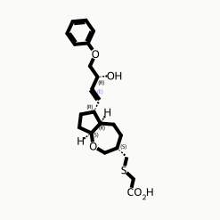 O=C(O)CSC[C@H]1CC[C@H]2[C@H](CC[C@@H]2/C=C/[C@@H](O)COc2ccccc2)OC1